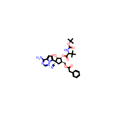 CC(C)(C)OC(=O)N[C@H](C(=O)O[C@@H]1[C@@H](COC(=O)Cc2ccccc2)C[C@@](C#N)(c2ccc3c(N)ncnn23)[C@@H]1O)C(C)(C)C